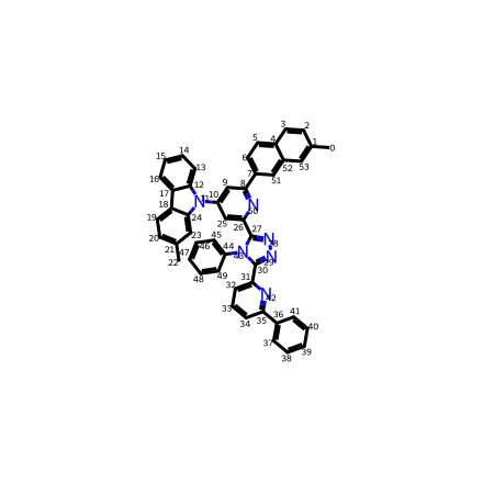 Cc1ccc2ccc(-c3cc(-n4c5ccccc5c5ccc(C)cc54)cc(-c4nnc(-c5cccc(-c6ccccc6)n5)n4-c4ccccc4)n3)cc2c1